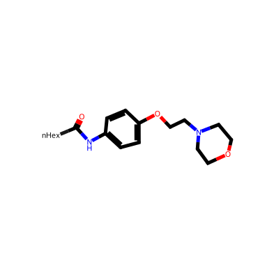 CCCCCCC(=O)Nc1ccc(OCCN2CCOCC2)cc1